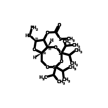 CSC(=O)OC1[C@H](BP)O[C@@H]2CO[Si](C(C)C)(C(C)C)O[Si](C(C)C)(C(C)C)O[C@H]12